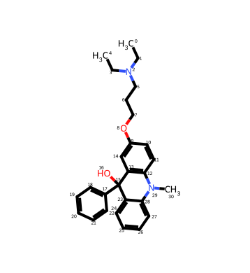 CCN(CC)CCCOc1ccc2c(c1)C(O)(c1ccccc1)c1ccccc1N2C